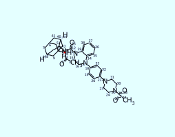 CC(=O)NC12CC3C[C@H](C1)C(NC(=O)N1CCN(c4ccc(N5CCN(S(C)(=O)=O)CC5)cc4)c4ccccc41)[C@@H](C3)C2